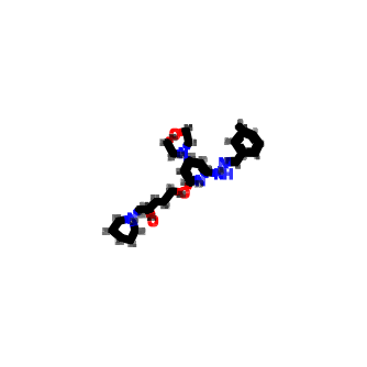 Cc1cccc(C=NNc2cc(N3CCOCC3)cc(OCCCC(=O)CN3CCCCC3)n2)c1